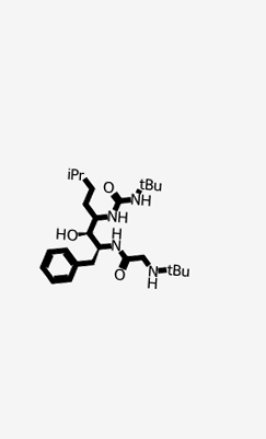 CC(C)CCC(NC(=O)NC(C)(C)C)[C@H](O)[C@H](Cc1ccccc1)NC(=O)CNC(C)(C)C